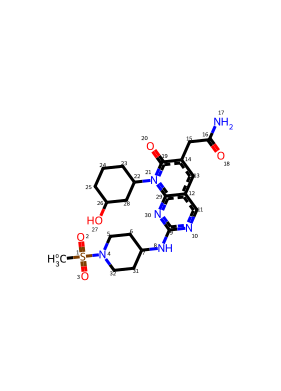 CS(=O)(=O)N1CCC(Nc2ncc3cc(CC(N)=O)c(=O)n(C4CCCC(O)C4)c3n2)CC1